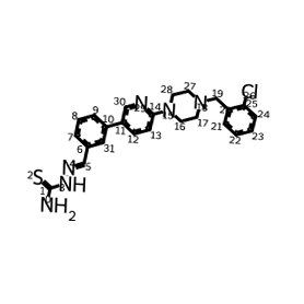 NC(=S)NN=Cc1cccc(-c2ccc(N3CCN(Cc4ccccc4Cl)CC3)nc2)c1